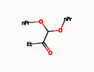 CCCOC(OCCC)C(=O)CC